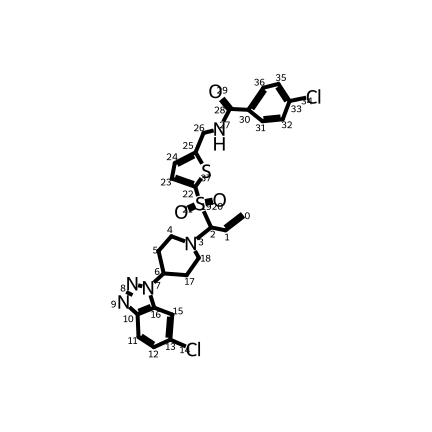 C=CC(N1CCC(n2nnc3ccc(Cl)cc32)CC1)S(=O)(=O)c1ccc(CNC(=O)c2ccc(Cl)cc2)s1